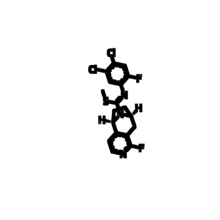 CSC(=Nc1cc(Cl)c(Cl)cc1F)N1[C@H]2CC[C@@H]1c1ccnc(F)c1C2